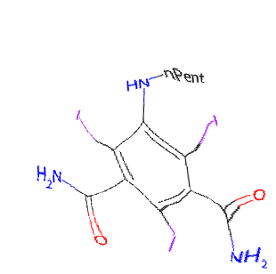 CCCCCNc1c(I)c(C(N)=O)c(I)c(C(N)=O)c1I